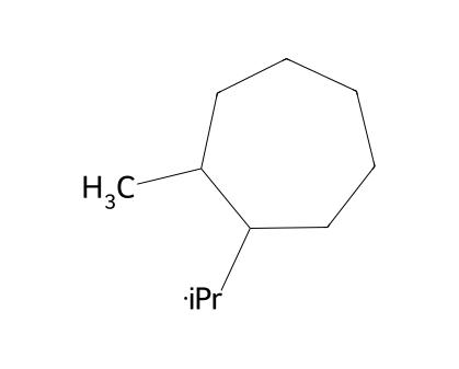 C[C](C)C1CCCCCC1C